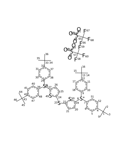 CC(C)(C)c1ccc([S+](c2ccc(C(C)(C)C)cc2)c2ccc(Sc3ccc([S+](c4ccc(C(C)(C)C)cc4)c4ccc(C(C)(C)C)cc4)s3)s2)cc1.O=S(=O)([O-])C(F)(F)F.O=S(=O)([O-])C(F)(F)F